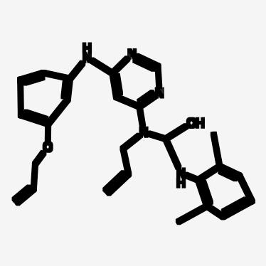 C=CCOc1cccc(Nc2cc(N(CC=C)C(O)Nc3c(C)cccc3C)ncn2)c1